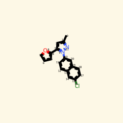 Cc1cc(-c2ccco2)n(-c2ccc3cc(Cl)ccc3c2)n1